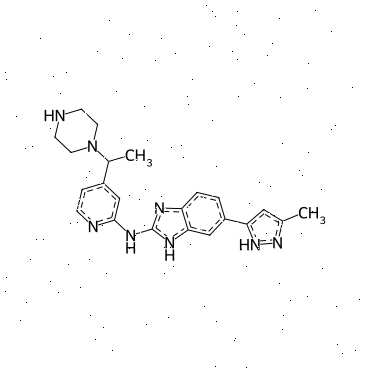 Cc1cc(-c2ccc3nc(Nc4cc(C(C)N5CCNCC5)ccn4)[nH]c3c2)[nH]n1